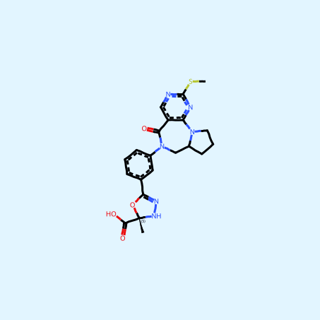 CSc1ncc2c(n1)N1CCCC1CN(c1cccc(C3=NN[C@](C)(C(=O)O)O3)c1)C2=O